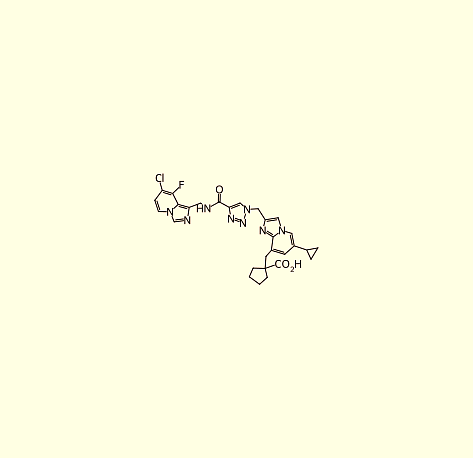 O=C(NCc1ncn2ccc(Cl)c(F)c12)c1cn(Cc2cn3cc(C4CC4)cc(CC4(C(=O)O)CCCC4)c3n2)nn1